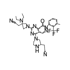 CCN(CC)C1(CC#N)CN(c2nc(N3CCNC(CC#N)C3)c3cnn(-c4cccc(C)c4C(F)(F)F)c(=O)c3n2)C1